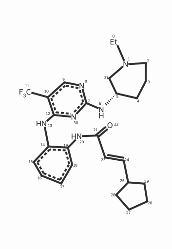 CCN1CCC[C@H](Nc2ncc(C(F)(F)F)c(Nc3ccccc3NC(=O)/C=C/C3CCCC3)n2)C1